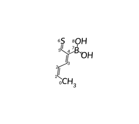 C/C=C\C=C(/C=S)B(O)O